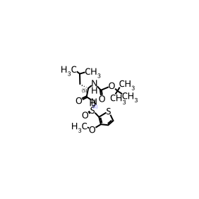 COc1ccsc1/[SH](=O)=N/C(=O)[C@H](CC(C)C)NC(=O)OC(C)(C)C